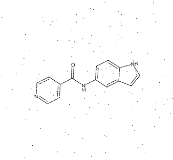 O=C(Nc1ccc2[nH]ccc2c1)c1ccncc1